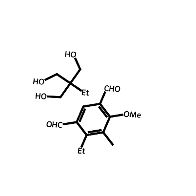 CCC(CO)(CO)CO.CCc1c(C=O)cc(C=O)c(OC)c1C